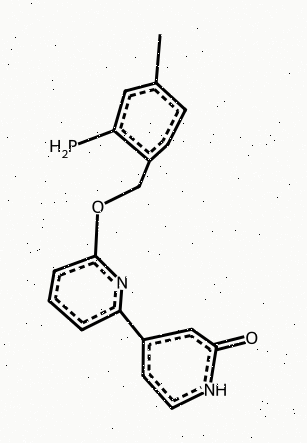 Cc1ccc(COc2cccc(-c3cc[nH]c(=O)c3)n2)c(P)c1